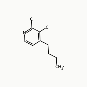 [CH2]CCCc1ccnc(Cl)c1Cl